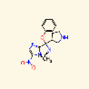 C=NC(Oc1ccccc1)(c1ncc([N+](=O)[O-])n1C)C1CCNC1